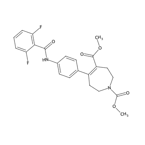 COC(=O)C1=C(c2ccc(NC(=O)c3c(F)cccc3F)cc2)CCN(C(=O)OC)CC1